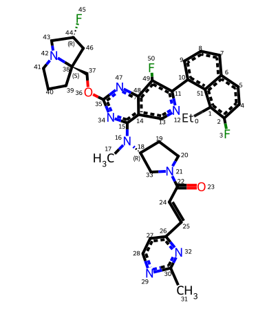 CCc1c(F)ccc2cccc(-c3ncc4c(N(C)[C@@H]5CCN(C(=O)C=Cc6ccnc(C)n6)C5)nc(OC[C@@]56CCCN5C[C@H](F)C6)nc4c3F)c12